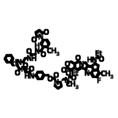 CCC(=O)N[C@H]1Cc2c(C)c(F)cc3nc4c(c1c23)Cn1c-4cc2c(c1=O)COC(=O)[C@@]2(CC)OC(=O)N(C)C[C@@H]1CCCN1C(=O)OCc1ccc(NC(=O)CNC(=O)[C@H](Cc2ccccc2)NC(=O)CNC(=O)CNC(=O)c2cc(N3C(=O)C=CC3=O)ccc2C)cc1